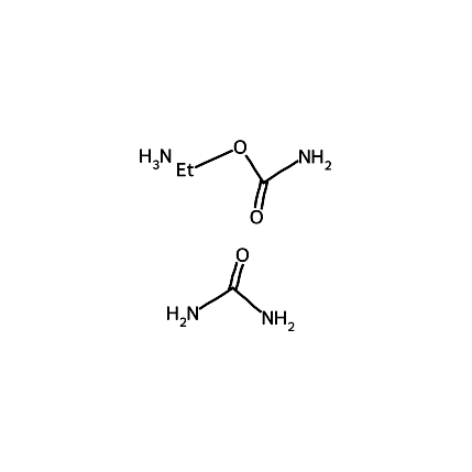 CCOC(N)=O.N.NC(N)=O